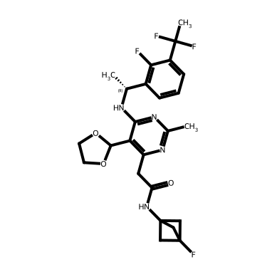 Cc1nc(CC(=O)NC23CC(F)(C2)C3)c(C2OCCO2)c(N[C@H](C)c2cccc(C(C)(F)F)c2F)n1